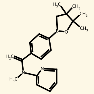 C=C(c1ccc(B2CC(C)(C)C(C)(C)O2)cc1)N(C)c1ccccn1